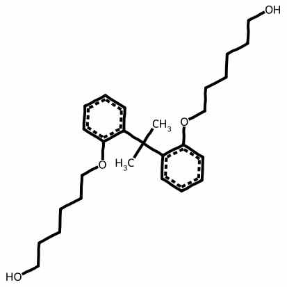 CC(C)(c1ccccc1OCCCCCCO)c1ccccc1OCCCCCCO